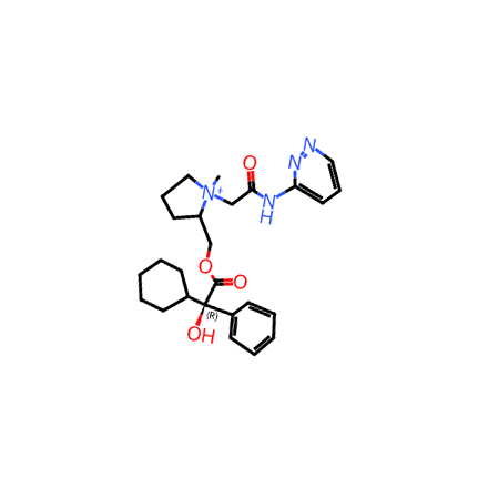 C[N+]1(CC(=O)Nc2cccnn2)CCCC1COC(=O)[C@](O)(c1ccccc1)C1CCCCC1